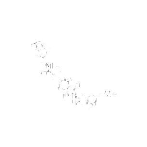 CSc1cccc(C[C@H](NC(=O)c2c(Cl)cc3c(c2Cl)CCC(C(=O)NCc2ccc4ccoc4c2)C3)C(=O)O)c1